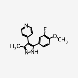 COc1ccc(-c2[nH]nc(C)c2-c2ccncc2)cc1F